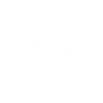 CC(C)CCS(=O)(=O)c1ccccc1C#N